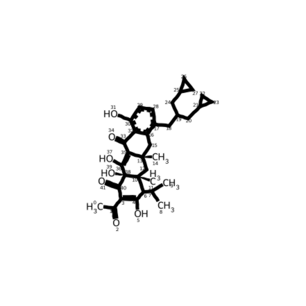 CC(=O)C1=C(O)C(C(C)C)[C@@]2(C)C[C@@]3(C)Cc4c(CC(CC5CC5)CC5CC5)ccc(O)c4C(=O)C3=C(O)[C@@]2(O)C1=O